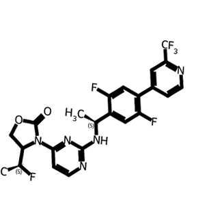 C[C@H](Nc1nccc(N2C(=O)OCC2[C@H](C)F)n1)c1cc(F)c(-c2ccnc(C(F)(F)F)c2)cc1F